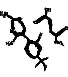 Cc1nc(N)ncc1-c1ccc(C(F)(F)F)cc1F.O=C(O)/C=C/C(=O)O